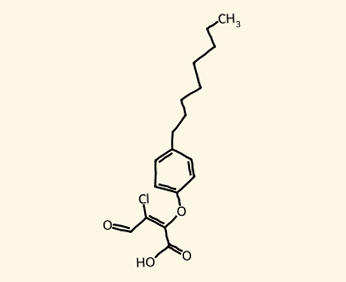 CCCCCCCCc1ccc(OC(C(=O)O)=C(Cl)C=O)cc1